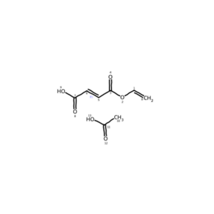 C=COC(=O)/C=C/C(=O)O.CC(=O)O